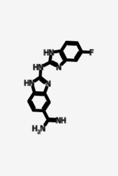 N=C(N)c1ccc2[nH]c(Nc3nc4cc(F)ccc4[nH]3)nc2c1